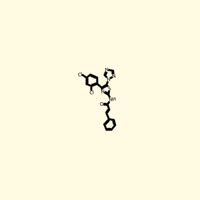 O=C(C=Cc1ccccc1)Nc1nc(-c2ccc(Cl)cc2Cl)c(-n2cncn2)s1